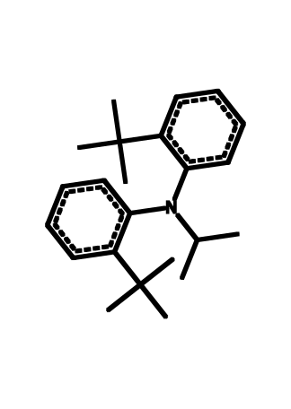 CC(C)N(c1ccccc1C(C)(C)C)c1ccccc1C(C)(C)C